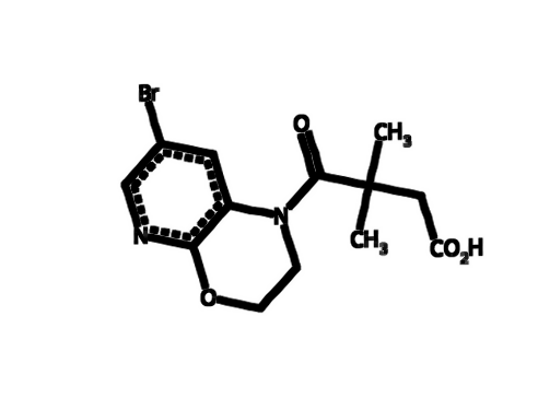 CC(C)(CC(=O)O)C(=O)N1CCOc2ncc(Br)cc21